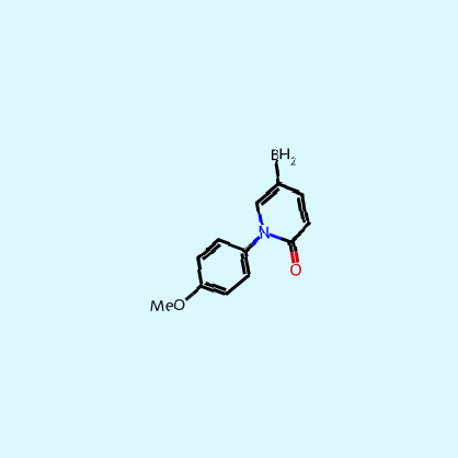 Bc1ccc(=O)n(-c2ccc(OC)cc2)c1